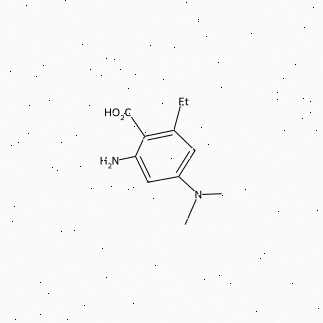 CCc1cc(N(C)C)cc(N)c1C(=O)O